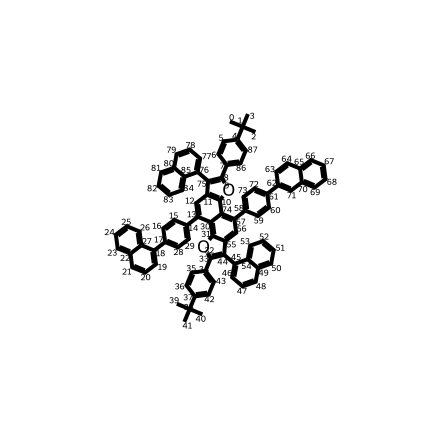 CC(C)(C)c1ccc(-c2oc3c(cc(-c4ccc(-c5cccc6ccccc56)cc4)c4c5oc(-c6ccc(C(C)(C)C)cc6)c(-c6cccc7ccccc67)c5cc(-c5ccc(-c6ccc7ccccc7c6)cc5)c34)c2-c2cccc3ccccc23)cc1